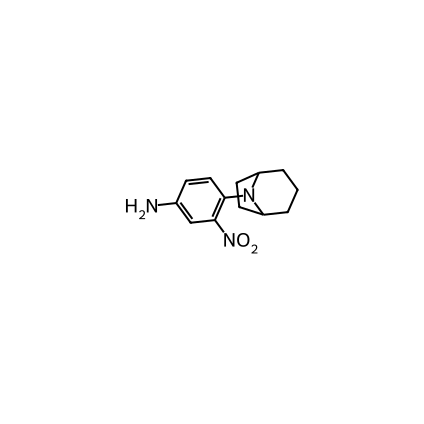 Nc1ccc(N2C3CCCC2CC3)c([N+](=O)[O-])c1